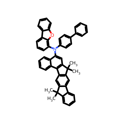 CC1(C)c2ccccc2-c2cc3c(cc21)-c1c(cc(N(c2ccc(-c4ccccc4)cc2)c2cccc4c2oc2ccccc24)c2ccccc12)C3(C)C